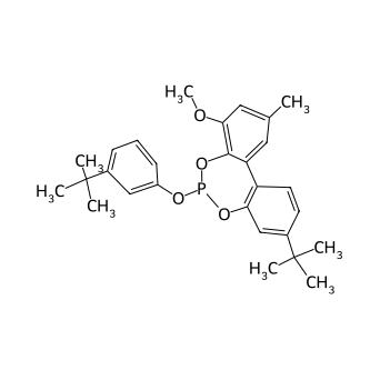 COc1cc(C)cc2c1op(Oc1cccc(C(C)(C)C)c1)oc1cc(C(C)(C)C)ccc12